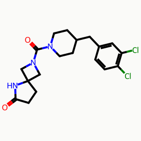 O=C1CCC2(CN(C(=O)N3CCC(Cc4ccc(Cl)c(Cl)c4)CC3)C2)N1